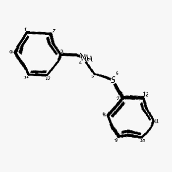 c1ccc(NCSc2ccccc2)cc1